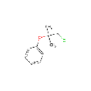 CC(C)(CCl)Oc1cc[c]cc1